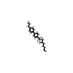 CCCCCC1COC(c2ccc(-c3ccc(CCC)cc3)cc2)OC1